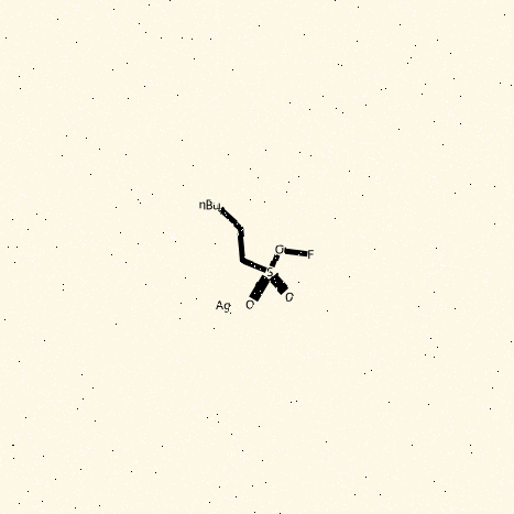 CCCCCCS(=O)(=O)OF.[Ag]